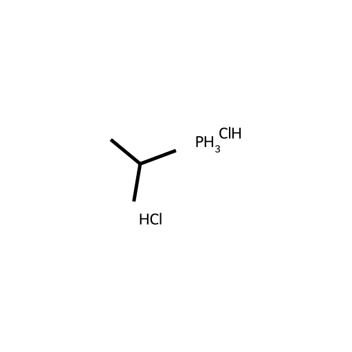 CC(C)C.Cl.Cl.P